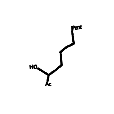 CCCC(C)CCCC(O)C(C)=O